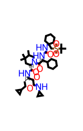 CC1CN(C(=O)[C@@H](NC(=O)NC2(CS(=O)(=O)C(C)(C)C)CCCCC2)C2CCCCC2)[C@H](C(=O)N[C@@H](CCC2CC2)C(=O)C(=O)NC2CC2)CC1(C)C